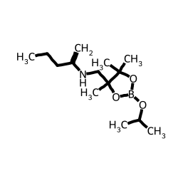 C=C(CCC)NCC1(C)OB(OC(C)C)OC1(C)C